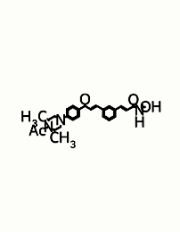 CC(=O)N1[C@H](C)CN(c2ccc(C(=O)C=Cc3cccc(C=CC(=O)NO)c3)cc2)C[C@@H]1C